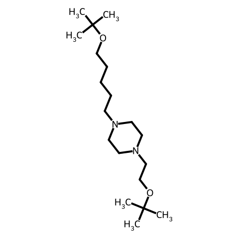 CC(C)(C)OCCCCCN1CCN(CCOC(C)(C)C)CC1